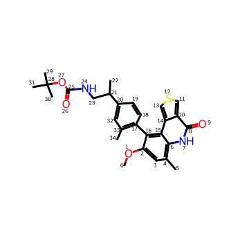 COc1cc(C)c2[nH]c(=O)c3cscc3c2c1-c1ccc(C(C)CNC(=O)OC(C)(C)C)cc1C